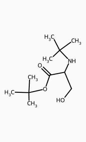 CC(C)(C)NC(CO)C(=O)OC(C)(C)C